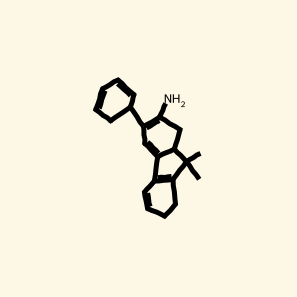 CC1(C)C2=C(C=CCC2)C2=CC(C3C=CC=CC3)=C(N)CC21